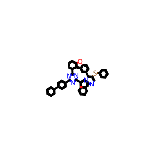 c1ccc(Sc2cnc(-c3ccccc3)nc2-c2ccc3oc4cccc(-c5nc(-c6ccccc6)nc(-c6ccc(-c7ccccc7)cc6)n5)c4c3c2)cc1